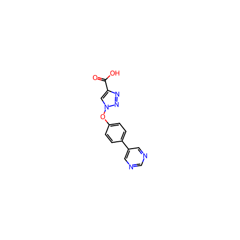 O=C(O)c1cn(Oc2ccc(-c3cncnc3)cc2)nn1